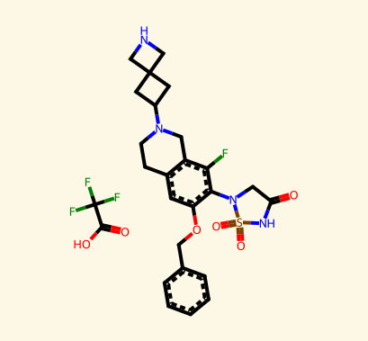 O=C(O)C(F)(F)F.O=C1CN(c2c(OCc3ccccc3)cc3c(c2F)CN(C2CC4(CNC4)C2)CC3)S(=O)(=O)N1